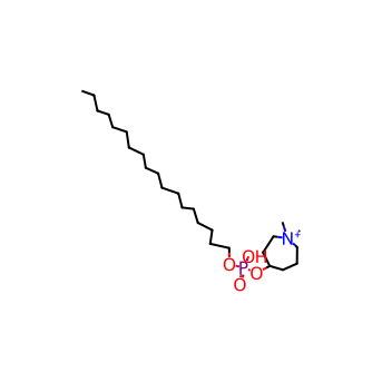 CCCCCCCCCCCCCCCCCCOP(=O)(O)OC1CCC[N+](C)(C)CC1